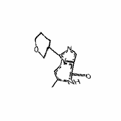 Cc1cn2c(C3CCCOC3)ncc2c(=O)[nH]1